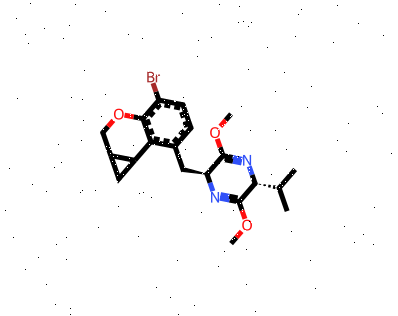 COC1=N[C@H](C(C)C)C(OC)=N[C@H]1Cc1ccc(Br)c2c1C1CC1CO2